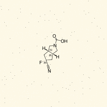 N#C[C@]1(F)C[C@H]2CN(C(=O)O)C[C@H]2C1